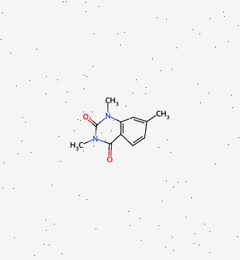 Cc1ccc2c(=O)n(C)c(=O)n(C)c2c1